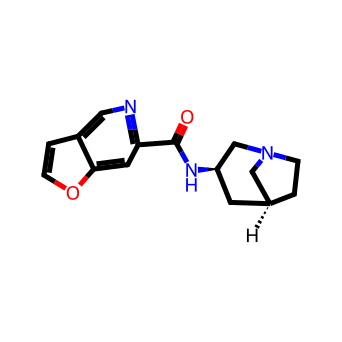 O=C(N[C@@H]1C[C@@H]2CCN(C2)C1)c1cc2occc2cn1